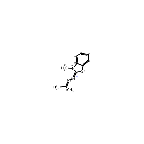 CC(C)=N/N=c1/sc2ccccc2n1C